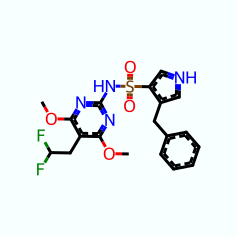 COc1nc(NS(=O)(=O)c2c[nH]cc2Cc2ccccc2)nc(OC)c1CC(F)F